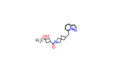 CC1(O)CC(C(=O)N2CC3(CC(Cc4cccc5ccnn45)C3)C2)C1